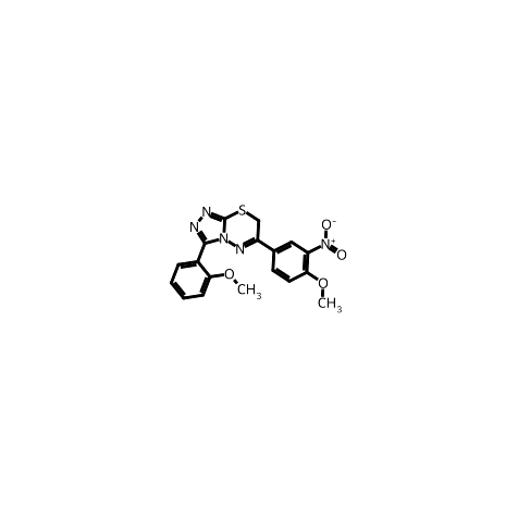 COc1ccccc1-c1nnc2n1N=C(c1ccc(OC)c([N+](=O)[O-])c1)CS2